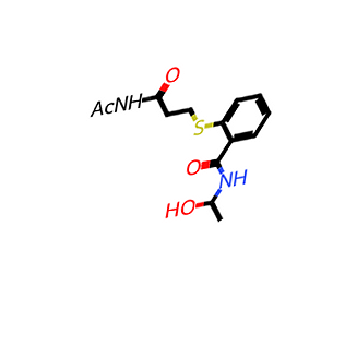 CC(=O)NC(=O)CCSc1ccccc1C(=O)NC(C)O